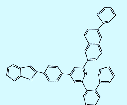 c1ccc(-c2ccc3cc(-c4cc(-c5ccc(-c6cc7ccccc7o6)cc5)nc(-c5ccccc5-c5ccccc5)n4)ccc3c2)cc1